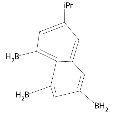 Bc1cc(B)c2c(B)cc(C(C)C)cc2c1